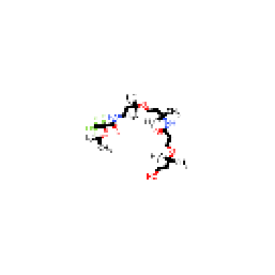 CC(C)OC(F)(C(=O)NCCC(C)(C)OCCC(C)(C)NC(=O)CCOC(C)(C)CCO)C(F)(F)F